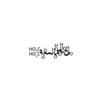 O=C(O)CC(NC(=O)CCCNC(=O)[C@H]1O[C@@H](N2CCC(=O)NC2=O)[C@H](O)[C@@H]1O)C(=O)O